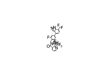 BC1(B)c2ncccc2C(=O)N1Cc1c(F)cc(-c2ccc(C(F)F)c3nn(C)cc23)cc1F